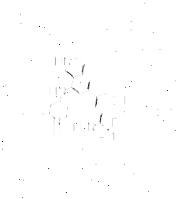 CC/C(=C\C=C(/N)C(F)(F)F)c1cc(NC2CCNCC2)c2c(c1)=CCNC=2